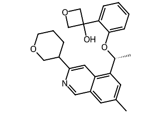 Cc1cc([C@@H](C)Oc2ccccc2C2(O)COC2)c2cc(C3CCCOC3)ncc2c1